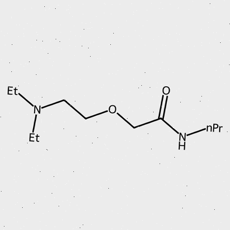 CCCNC(=O)COCCN(CC)CC